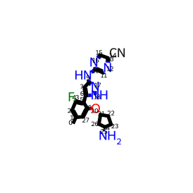 Cc1cc(F)c(-c2cc(Nc3cnc(C#N)cn3)n[nH]2)c(O[C@@H]2CC[C@H](N)C2)c1